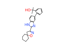 CC(C)(O)c1ccccc1-c1ccc2[nH]c(C3=NOC4(CCCCC4)C3)nc2c1